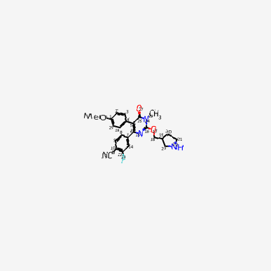 COc1ccc(-c2c(-c3ccc(C#N)c(F)c3)nc(OCC3CCNC3)n(C)c2=O)cc1